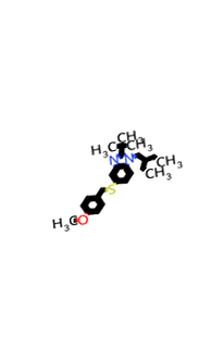 CCC(CC)Cn1c(C(C)(C)C)nc2cc(SCc3ccc(OC)cc3)ccc21